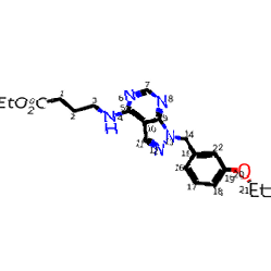 CCOC(=O)CCCNc1ncnc2c1cnn2Cc1cccc(OCC)c1